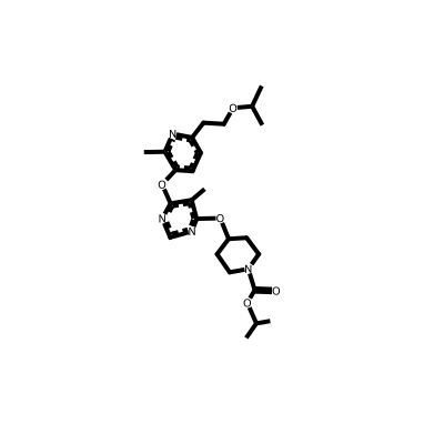 Cc1nc(CCOC(C)C)ccc1Oc1ncnc(OC2CCN(C(=O)OC(C)C)CC2)c1C